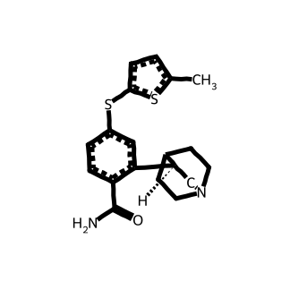 Cc1ccc(Sc2ccc(C(N)=O)c([C@@H]3CN4CCC3CC4)c2)s1